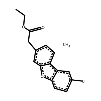 C.CCOC(=O)Cc1ccc2c(c1)oc1ccc(Cl)cc12